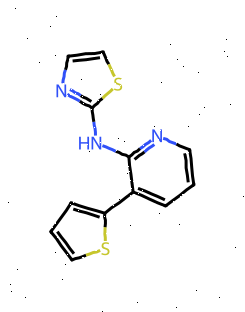 c1csc(-c2cccnc2Nc2nccs2)c1